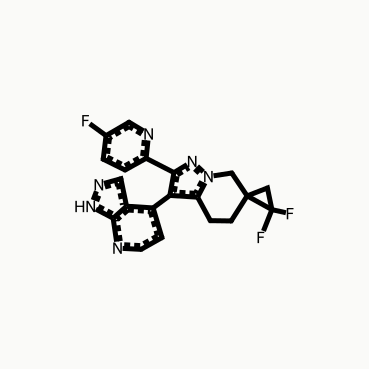 Fc1ccc(-c2nn3c(c2-c2ccnc4[nH]ncc24)CCC2(C3)CC2(F)F)nc1